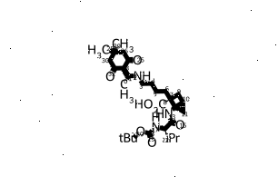 CC(NCCCC[C@@]1(C(=O)O)CC2CC21NC(=O)[C@@H](NC(=O)OC(C)(C)C)C(C)C)=C1C(=O)CC(C)(C)CC1=O